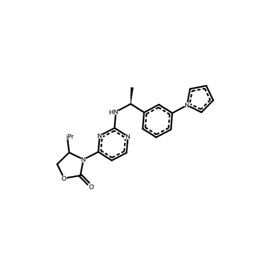 CC(C)C1COC(=O)N1c1ccnc(N[C@@H](C)c2cccc(-n3cccc3)c2)n1